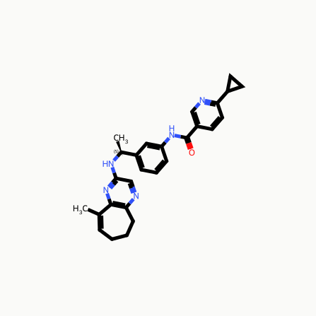 CC1=CCCCc2ncc(N[C@@H](C)c3cccc(NC(=O)c4ccc(C5CC5)nc4)c3)nc21